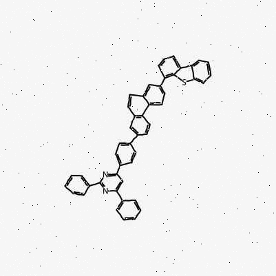 c1ccc(-c2cc(-c3ccc(-c4ccc5c(ccc6cc(-c7cccc8c7sc7ccccc78)ccc65)c4)cc3)nc(-c3ccccc3)n2)cc1